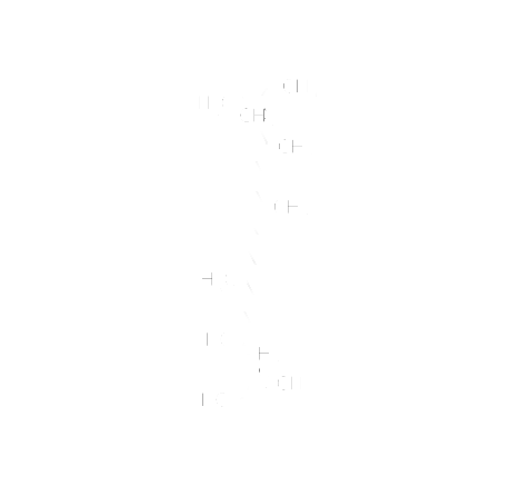 CC1=C(C/C=C(C)/C=C/C=C(C)/C=C/C=C/C(C)=C/C=C/C(C)=C/CC2=C(C)CCCC2(C)C)C(C)(C)CCC1